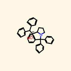 O[C@H](C(c1ccccc1)c1ccccc1)C1CCCN1C(c1ccccc1)(c1ccccc1)c1ccccc1